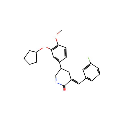 COc1ccc(C2CNC(=O)C(=Cc3cccc(F)c3)C2)cc1OC1CCCC1